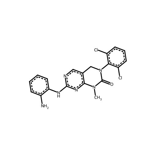 CN1C(=O)N(c2c(Cl)cccc2Cl)Cc2cnc(Nc3ccccc3N)nc21